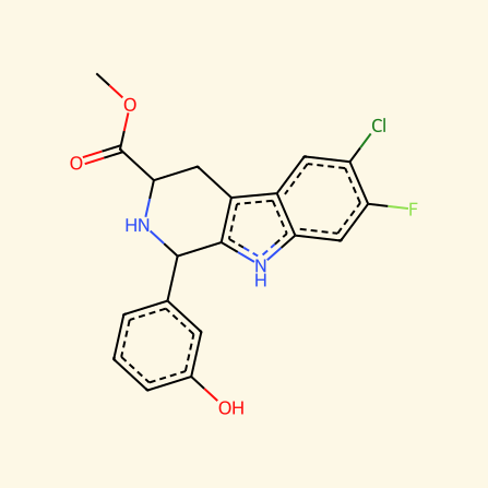 COC(=O)C1Cc2c([nH]c3cc(F)c(Cl)cc23)C(c2cccc(O)c2)N1